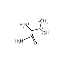 CC(S)C(N)C(N)=O